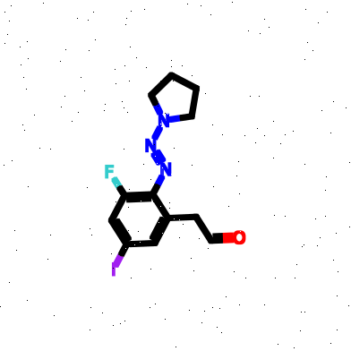 O=CCc1cc(I)cc(F)c1/N=N/N1CCCC1